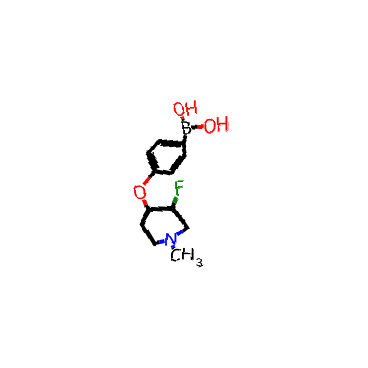 CN1CCC(Oc2ccc(B(O)O)cc2)C(F)C1